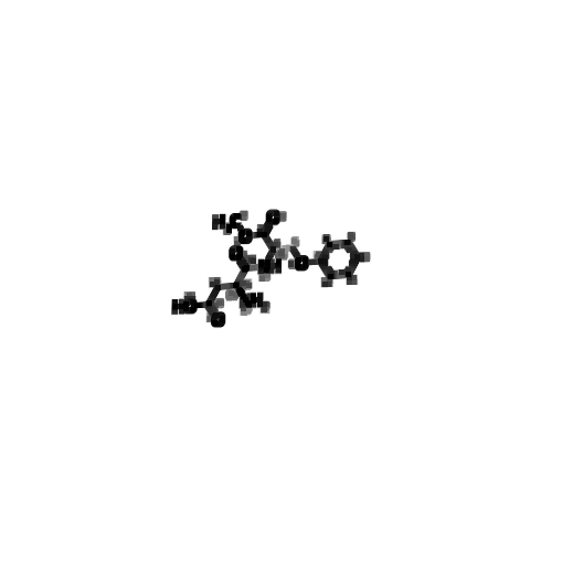 COC(=O)[C@H](COc1ccccc1)NC(=O)[C@@H](N)CC(=O)O